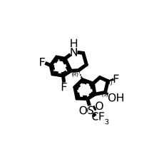 O=S(=O)(c1ccc([C@H]2CCNc3cc(F)cc(F)c32)c2c1[C@H](O)[C@H](F)C2)C(F)(F)F